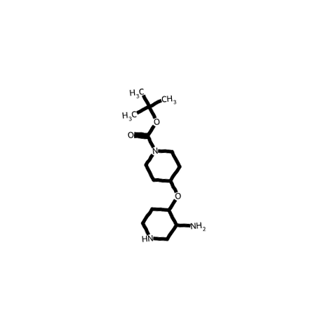 CC(C)(C)OC(=O)N1CCC(OC2CCNCC2N)CC1